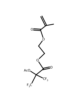 C=C(C)C(=O)OCCOC(=O)C(OC(C)=O)(C(F)(F)F)C(F)(F)F